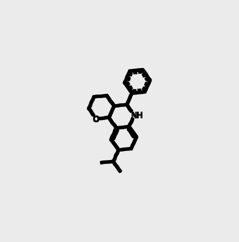 CC(C)C1C=C2C(=CC1)NC(c1ccccc1)C1CCCOC21